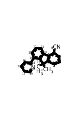 CC1(C)c2cccc(C#N)c2-c2cccc(-c3ccccn3)c21